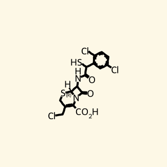 O=C(O)C1=C(CCl)CS[C@@H]2C(NC(=O)C(S)c3cc(Cl)ccc3Cl)C(=O)N12